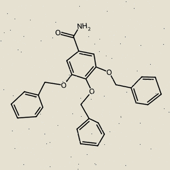 NC(=O)c1cc(OCc2ccccc2)c(OCc2ccccc2)c(OCc2ccccc2)c1